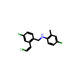 Cc1cc(F)ccc1NCc1ccc(F)cc1/C=C\Cl